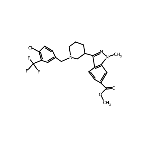 COC(=O)c1ccc2c(C3CCCN(Cc4ccc(Cl)c(C(F)(F)F)c4)C3)nn(C)c2c1